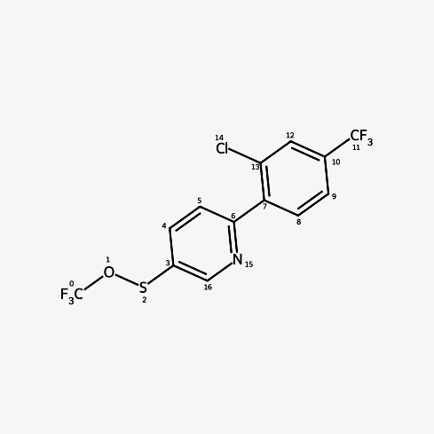 FC(F)(F)OSc1ccc(-c2ccc(C(F)(F)F)cc2Cl)nc1